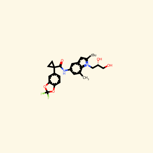 Cc1cc(NC(=O)C2(c3ccc4c(c3)OC(F)(F)O4)CC2)cc2cc(C(C)(C)C)n(C[C@H](O)CO)c12